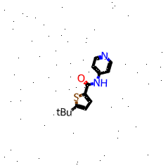 CC(C)(C)c1ccc(C(=O)Nc2ccncc2)s1